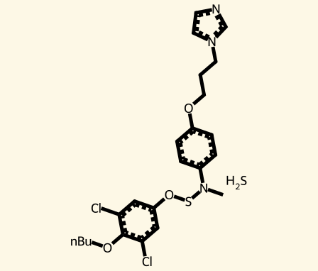 CCCCOc1c(Cl)cc(OSN(C)c2ccc(OCCCn3ccnc3)cc2)cc1Cl.S